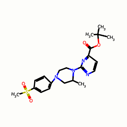 CC1CN(c2ccc(S(C)(=O)=O)cc2)CCN1c1nccc(C(=O)OC(C)(C)C)n1